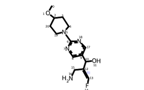 COC1CCN(c2ncc(C(O)/C(=C/F)CN)cn2)CC1